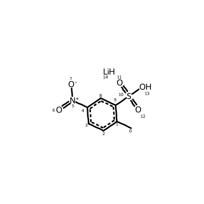 Cc1ccc([N+](=O)[O-])cc1S(=O)(=O)O.[LiH]